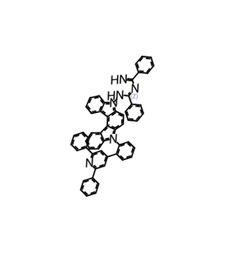 N=C(/N=C(\Nn1c2ccccc2c2c3c4ccccc4n(-c4ccccc4-c4cc(-c5ccccc5)nc(-c5ccccc5)c4)c3ccc21)c1ccccc1)c1ccccc1